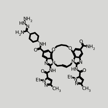 CCn1nc(C)cc1C(=O)Nc1nc2cc(C(N)=O)cc3c2n1C/C=C/Cn1c(NC(=O)c2cc(C)nn2CC)nc2cc(C(=O)N[C@H]4CC[C@H](/C(N)=N/NN)CC4)cc(c21)OCCCO3